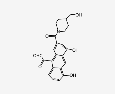 O=CC(=O)c1c2cccc(O)c2cc2c(O)cc(C(=O)N3CCC(CO)CC3)cc12